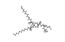 CCCCCCCCCCCC(=O)OCC1(COC(=O)CCCCCCCCCCC)CCN(C(=O)CCN(CCO)CCCC)CC1